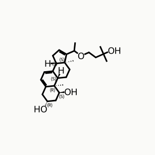 CC(OCCC(C)(C)O)C1=CC[C@H]2C3=CC=C4C[C@@H](O)C[C@H](O)[C@]4(C)[C@H]3CC[C@]12C